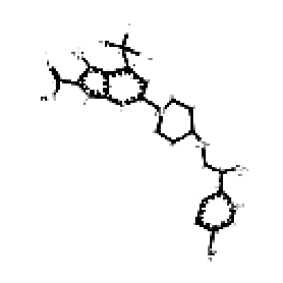 NC(=O)c1sc2nc(N3CCC(NCC(O)c4ccc(Br)cn4)CC3)cc(C(F)(F)F)c2c1N